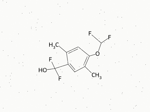 Cc1cc(C(O)(F)F)c(C)cc1OC(F)F